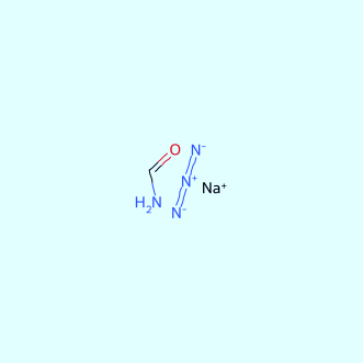 NC=O.[N-]=[N+]=[N-].[Na+]